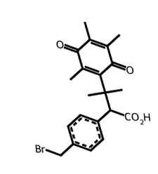 CC1=C(C)C(=O)C(C(C)(C)C(C(=O)O)c2ccc(CBr)cc2)=C(C)C1=O